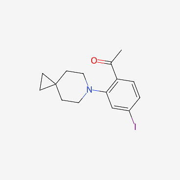 CC(=O)c1ccc(I)cc1N1CCC2(CC1)CC2